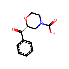 O=C(c1ccccc1)[C@H]1CN(C(=O)O)CCO1